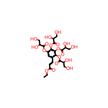 CCOC(=O)C=Cc1cc(OC(=O)C(O)CO)c(OC(=O)C(O)CO)c(OC(=O)C(O)CO)c1OC(=O)C(O)CO